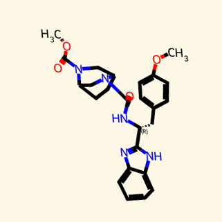 COC(=O)N1CC2CCC1CN2C(=O)N[C@H](Cc1ccc(OC)cc1)c1nc2ccccc2[nH]1